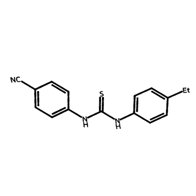 CCc1ccc(NC(=S)Nc2ccc(C#N)cc2)cc1